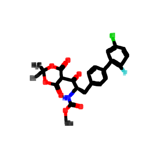 CCC1(C)OC(=O)C(C(=O)[C@@H](Cc2ccc(-c3cc(Cl)ccc3F)cc2)NC(=O)OC(C)(C)C)C(=O)O1